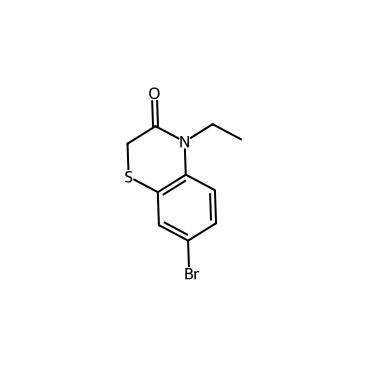 CCN1C(=O)CSc2cc(Br)ccc21